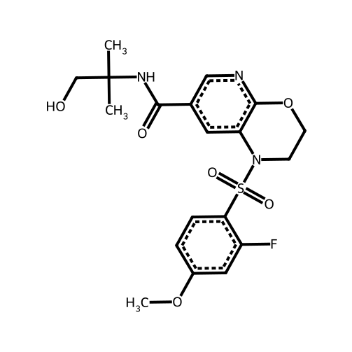 COc1ccc(S(=O)(=O)N2CCOc3ncc(C(=O)NC(C)(C)CO)cc32)c(F)c1